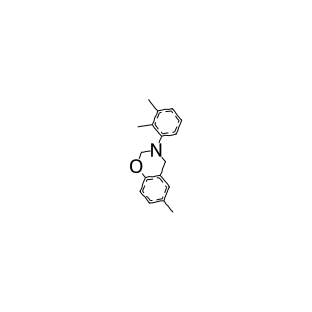 Cc1ccc2c(c1)CN(c1cccc(C)c1C)CO2